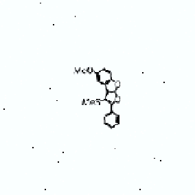 COc1ccc2c(c1)C1C(SC)=C(c3ccccc3)OC1O2